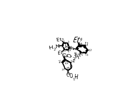 CCc1cccc(CC)c1N.CCc1cccc(CC)c1N.O=C(O)C1CCC(C(=O)O)CC1